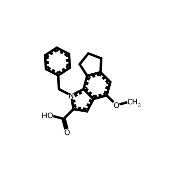 COc1cc2c(c3c1cc(C(=O)O)n3Cc1ccccc1)CCC2